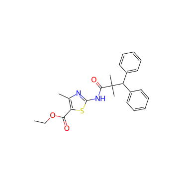 CCOC(=O)c1sc(NC(=O)C(C)(C)C(c2ccccc2)c2ccccc2)nc1C